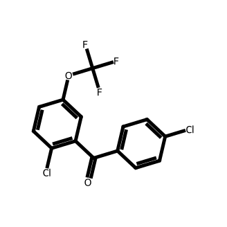 O=C(c1ccc(Cl)cc1)c1cc(OC(F)(F)F)ccc1Cl